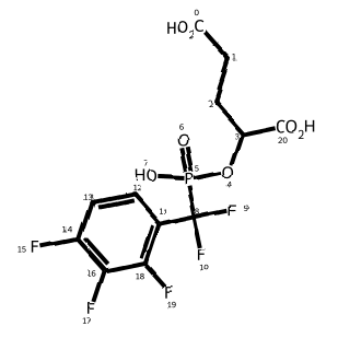 O=C(O)CCC(OP(=O)(O)C(F)(F)c1ccc(F)c(F)c1F)C(=O)O